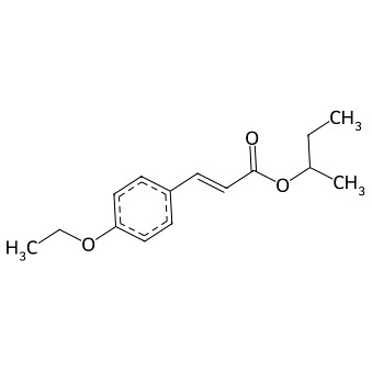 CCOc1ccc(/C=C/C(=O)OC(C)CC)cc1